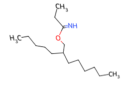 CCCCCCC(CCCCC)COC(=N)CC